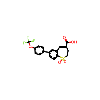 O=C(O)C1=Cc2cc(-c3ccc(OC(F)(F)F)cc3)ccc2S(=O)(=O)CC1